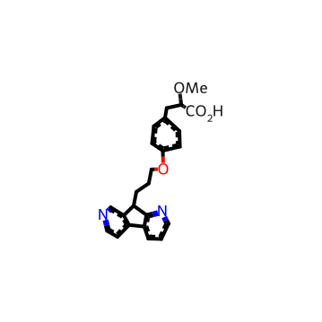 COC(Cc1ccc(OCCCC2c3cnccc3-c3cccnc32)cc1)C(=O)O